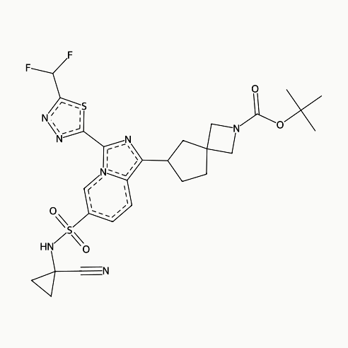 CC(C)(C)OC(=O)N1CC2(CCC(c3nc(-c4nnc(C(F)F)s4)n4cc(S(=O)(=O)NC5(C#N)CC5)ccc34)C2)C1